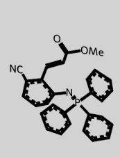 COC(=O)/C=C/c1c(C#N)cccc1N=P(c1ccccc1)(c1ccccc1)c1ccccc1